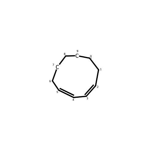 [CH]1CC=CC=CCCCC1